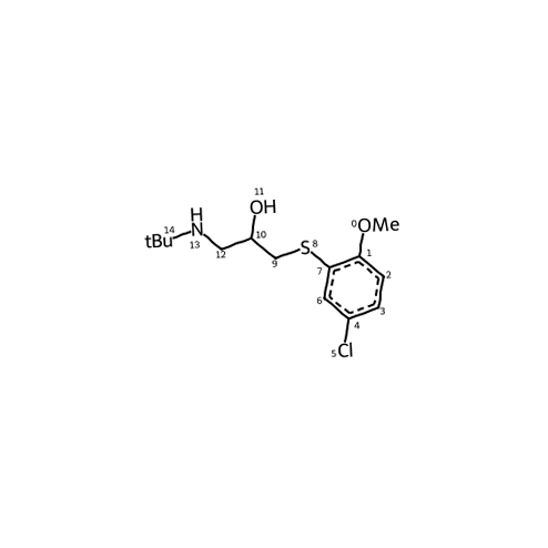 COc1ccc(Cl)cc1SCC(O)CNC(C)(C)C